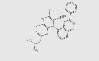 CC1=C(C#N)C(c2cncc3ncc(-c4ccccc4)cc23)C(OC(=O)OC(C)C)=C(C)N1